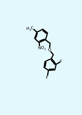 Cc1ccc(COCc2ccc(F)cc2F)c([N+](=O)[O-])c1